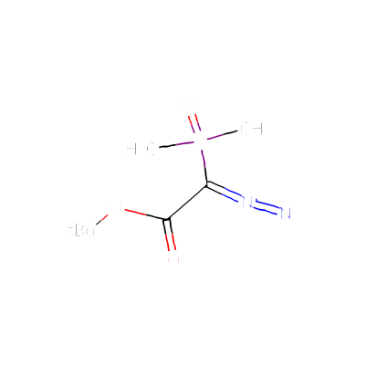 CC(C)(C)OC(=O)C(=[N+]=[N-])P(C)(C)=O